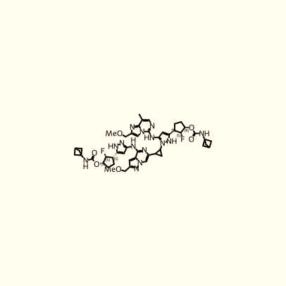 COCc1cn2c(Nc3cc([C@H]4CC[C@@H](OC(=O)NC56CC(C5)C6)[C@H]4F)[nH][n+]3C3CC3c3cn4nc(COC)cc4c(Nc4cc([C@@H]5CC[C@H](OC(=O)NC67CC(C6)C7)[C@H]5F)[nH]n4)n3)ncc(C)c2n1